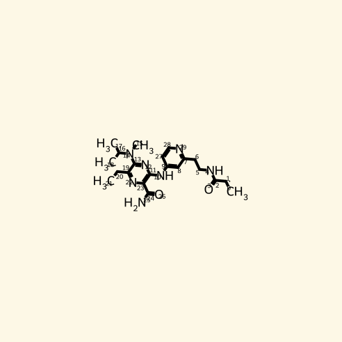 C[CH]C(=O)NCCc1cc(Nc2nc(N(C)C(C)C)c(CC)nc2C(N)=O)ccn1